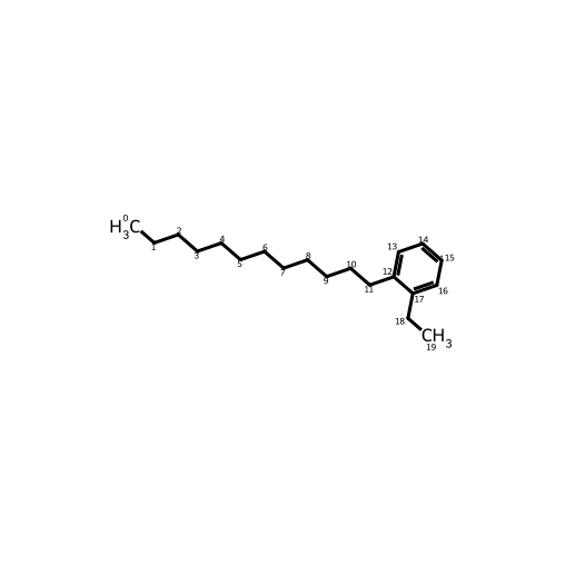 CCCCCCCCCCCCc1cc[c]cc1CC